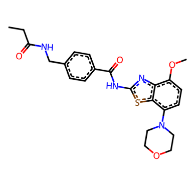 CCC(=O)NCc1ccc(C(=O)Nc2nc3c(OC)ccc(N4CCOCC4)c3s2)cc1